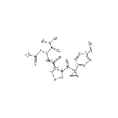 CCC(Cl)C(=O)N(CC(N)=O)NC(=O)[C@@H]1CCCN1C(=O)C1(c2ccc(OC(F)(F)F)cc2)CC1